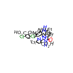 CCC(CC)Nc1c([N+](=O)[O-])cc(C)c(C)c1[N+](=O)[O-].CCc1cnc(C2=NC(C)(C(C)C)C(=O)N2)c(C(=O)O)c1.COc1c(Cl)ccc(Cl)c1C(=O)O